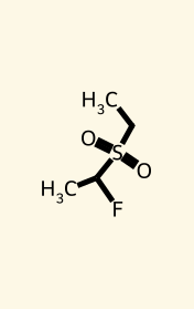 CCS(=O)(=O)C(C)F